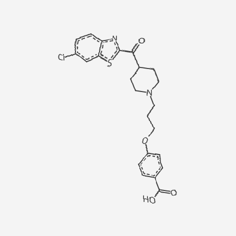 O=C(O)c1ccc(OCCCN2CCC(C(=O)c3nc4ccc(Cl)cc4s3)CC2)cc1